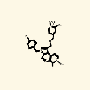 CC(C)(C)C1CC(COCc2cn(Cc3ccc(F)cc3)c3cnc4c(=O)n(O)ccc4c23)CCN1C(=O)O